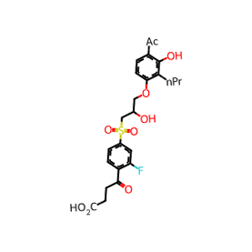 CCCc1c(OCC(O)CS(=O)(=O)c2ccc(C(=O)CCC(=O)O)c(F)c2)ccc(C(C)=O)c1O